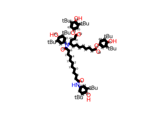 CC(C)(C)c1cc(NC(=O)CCCCCCCCCCC(=O)N(c2cc(C(C)(C)C)c(O)c(C(C)(C)C)c2)C(CCCCCCCC(=O)Oc2cc(C(C)(C)C)c(O)c(C(C)(C)C)c2)CCC(=O)Oc2cc(C(C)(C)C)c(O)c(C(C)(C)C)c2)cc(C(C)(C)C)c1O